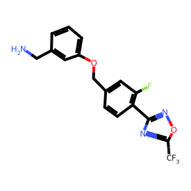 NCc1cccc(OCc2ccc(-c3noc(C(F)(F)F)n3)c(F)c2)c1